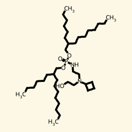 CCCCCCCCC(CCCCCC)COP(=O)(NCCN(CCO)C1CCC1)OCC(CCCCCC)CCCCCCCC